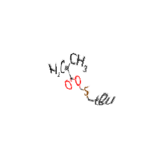 C=C(C)C(=O)OCSCC(C)(C)C